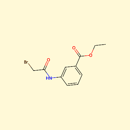 CCOC(=O)c1cccc(NC(=O)CBr)c1